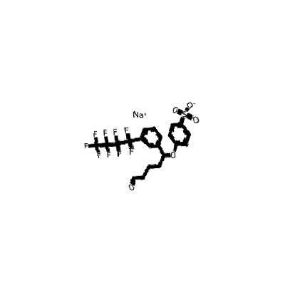 O=CCCCC(Oc1ccc(S(=O)(=O)[O-])cc1)c1cccc(C(F)(F)C(F)(F)C(F)(F)C(F)(F)F)c1.[Na+]